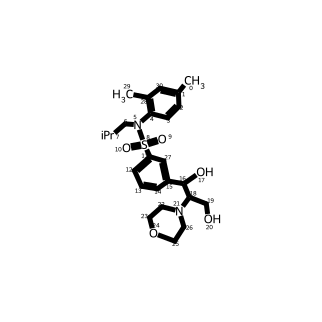 Cc1ccc(N(CC(C)C)S(=O)(=O)c2cccc(C(O)C(CO)N3CCOCC3)c2)c(C)c1